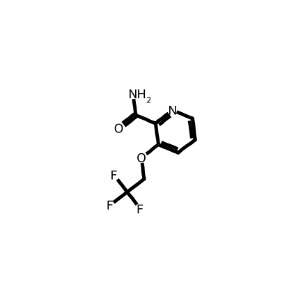 NC(=O)c1ncccc1OCC(F)(F)F